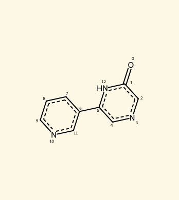 O=c1cncc(-c2cccnc2)[nH]1